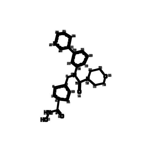 O=C(NO)c1ccc(CN(C(=O)N2CCOCC2)c2cccc(-c3cccnc3)c2)cc1